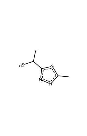 [CH2]C(S)c1nnc(C)s1